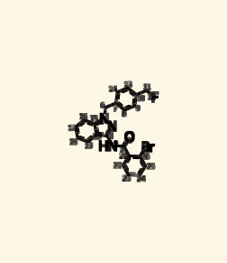 O=C(Nc1nn(Cc2ccc(CF)cc2)c2ccccc12)c1ccccc1Br